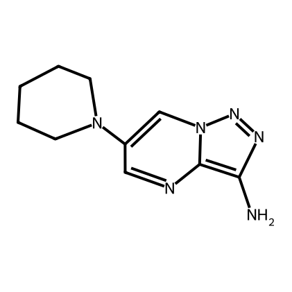 Nc1nnn2cc(N3CCCCC3)cnc12